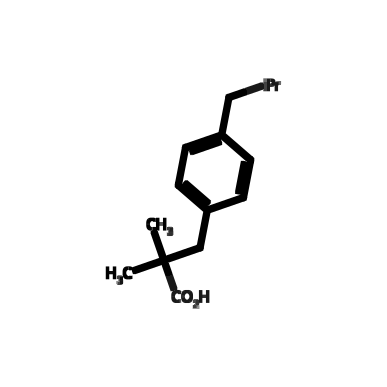 CC(C)Cc1ccc(CC(C)(C)C(=O)O)cc1